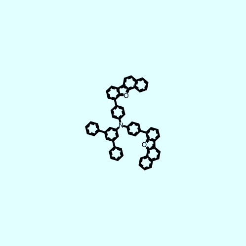 c1ccc(-c2cc(-c3ccccc3)cc(N(c3ccc(-c4cccc5c4oc4c6ccccc6ccc54)cc3)c3ccc(-c4cccc5c4oc4c6ccccc6ccc54)cc3)c2)cc1